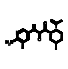 C=C(C)[C@@H]1CC[C@@H](C)CN1C(=O)C(=O)Nc1cnc(N)c(C)c1